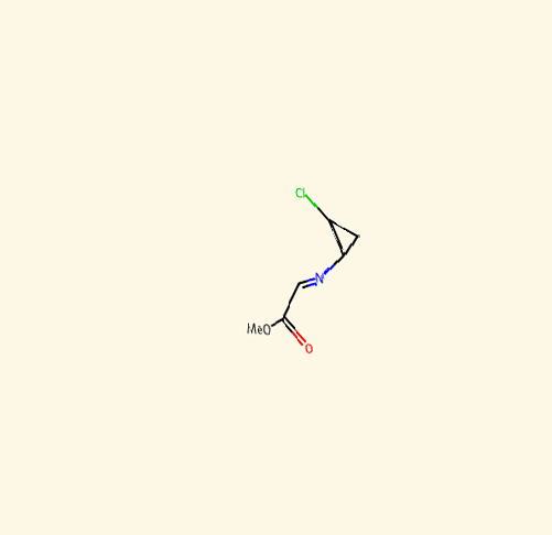 COC(=O)C=NC1CC1Cl